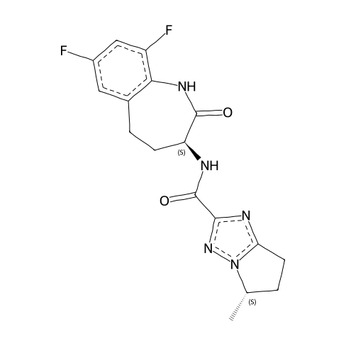 C[C@H]1CCc2nc(C(=O)N[C@H]3CCc4cc(F)cc(F)c4NC3=O)nn21